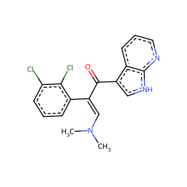 CN(C)C=C(C(=O)c1c[nH]c2ncccc12)c1cccc(Cl)c1Cl